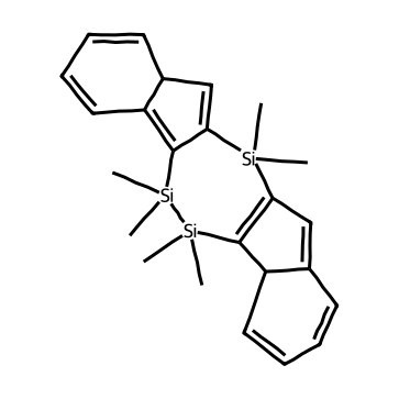 C[Si]1(C)C2=CC3C=CC=CC3=C2[Si](C)(C)[Si](C)(C)C2=C1C=C1C=CC=CC12